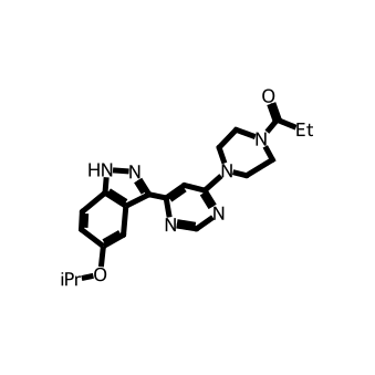 CCC(=O)N1CCN(c2cc(-c3n[nH]c4ccc(OC(C)C)cc34)ncn2)CC1